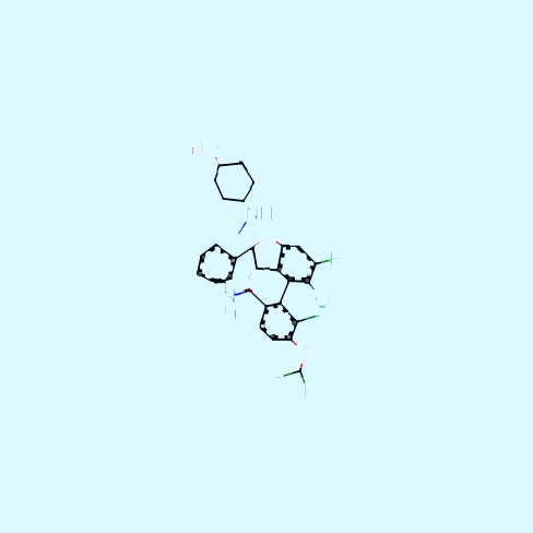 C[C@H]1c2c(cc(F)c(Cl)c2-c2c(C(N)=O)ccc(OC(F)F)c2F)O[C@]1(CN[C@H]1CC[C@H](O)CC1)c1ccccc1